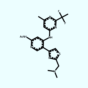 CC(=O)Nc1cc(Nc2cc(C)nc(C(C)(F)F)n2)c(-c2csc(CN(C)C)n2)cn1